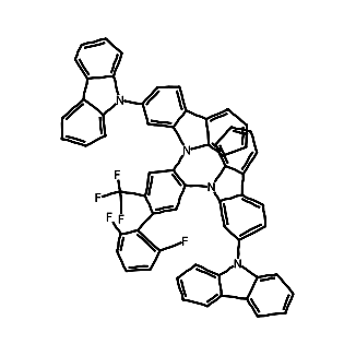 Fc1cccc(F)c1-c1cc(-n2c3ccccc3c3ccc(-n4c5ccccc5c5ccccc54)cc32)c(-n2c3ccccc3c3ccc(-n4c5ccccc5c5ccccc54)cc32)cc1C(F)(F)F